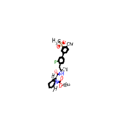 CC(C)(C)OC(=O)N1[C@H]2CC[C@H](C2)[C@H]1C(=O)N[C@H](C#N)Cc1ccc(-c2ccc(C#N)c(S(C)(=O)=O)c2)cc1F